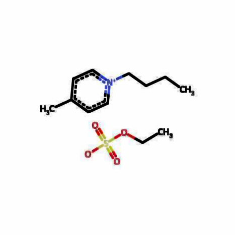 CCCC[n+]1ccc(C)cc1.CCOS(=O)(=O)[O-]